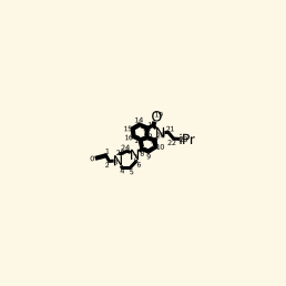 C=CCN1CCCN(c2ccc3c4c(cccc24)C(=O)N3CCC(C)C)CC1